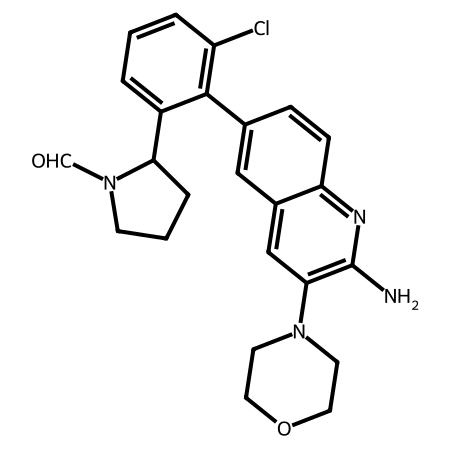 Nc1nc2ccc(-c3c(Cl)cccc3C3CCCN3C=O)cc2cc1N1CCOCC1